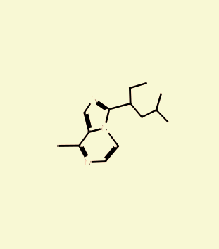 CCC(CC(C)C)c1ncc2c(Cl)nccn12